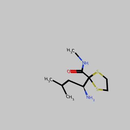 CNC(=O)C1([C@@H](N)CC(C)C)SCCS1